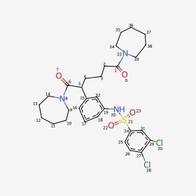 O=C(CCCC(C(=O)N1CCCCCC1)c1cccc(NS(=O)(=O)c2ccc(Cl)c(Cl)c2)c1)N1CCCCCC1